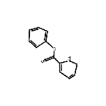 O=C(Oc1ccccc1)C1=CC=CCN1